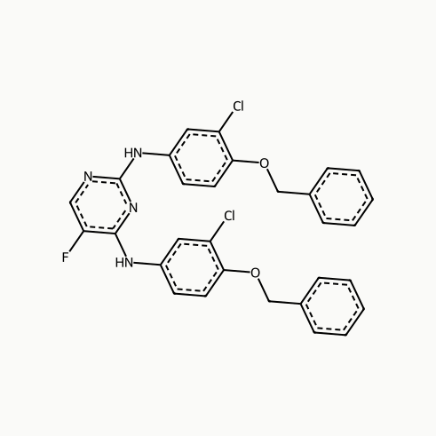 Fc1cnc(Nc2ccc(OCc3ccccc3)c(Cl)c2)nc1Nc1ccc(OCc2ccccc2)c(Cl)c1